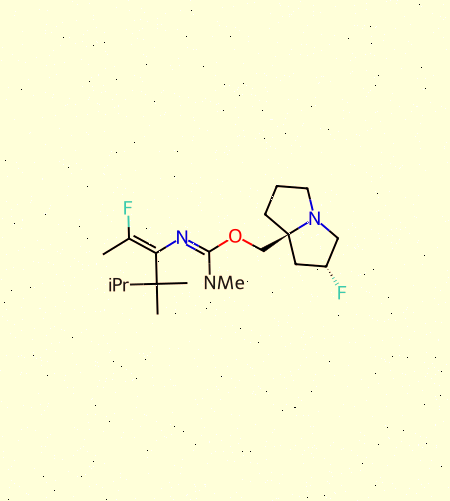 CN/C(=N\C(=C(\C)F)C(C)(C)C(C)C)OC[C@@]12CCCN1C[C@H](F)C2